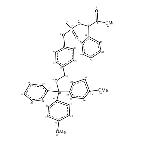 COC(=O)C(OP(C)(=O)Oc1ccc(COC(c2ccccc2)(c2ccc(OC)cc2)c2ccc(OC)cc2)cc1)c1ccccc1